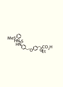 CCO[C@@H](Cc1ccc(OCCc2ccc(NC(=S)Nc3ccccc3SC)cc2)cc1)C(=O)O